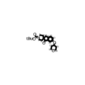 CC(C)(C)OC(=O)N1CCC2(CC1)Cc1ccc(OC3CCOCC3)cc1C2=O